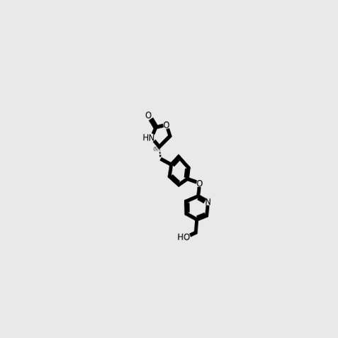 O=C1N[C@@H](Cc2ccc(Oc3ccc(CO)cn3)cc2)CO1